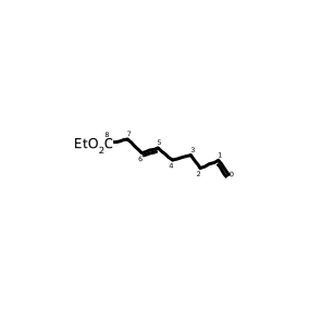 C=CCCCC=CCC(=O)OCC